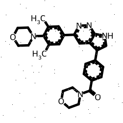 Cc1cc(-c2cc3c(-c4ccc(C(=O)N5CCOCC5)cc4)c[nH]c3nn2)cc(C)c1N1CCOCC1